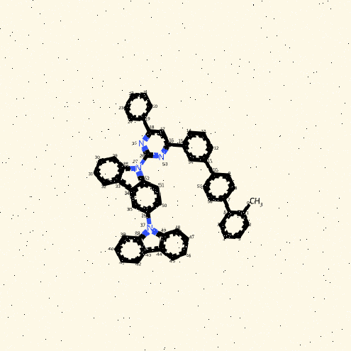 Cc1ccccc1-c1ccc(-c2cccc(-c3cc(-c4ccccc4)nc(-n4c5ccccc5c5cc(-n6c7ccccc7c7ccccc76)ccc54)n3)c2)cc1